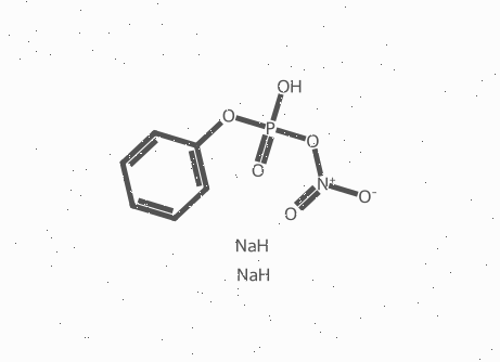 O=[N+]([O-])OP(=O)(O)Oc1ccccc1.[NaH].[NaH]